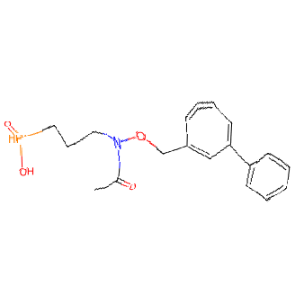 CC(=O)N(CCC[PH](=O)O)OCc1cccc(-c2ccccc2)c1